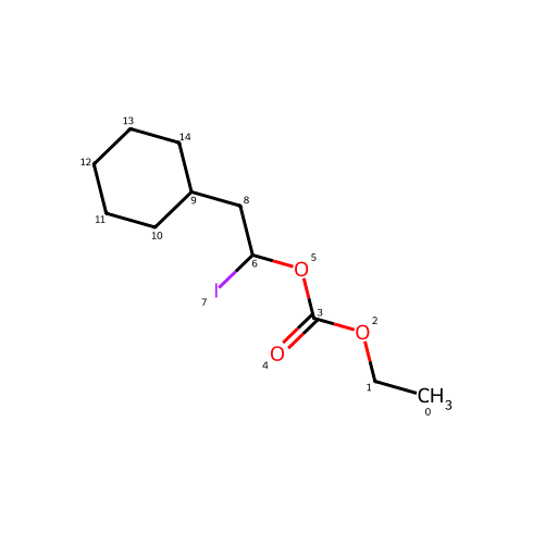 CCOC(=O)OC(I)CC1CCCCC1